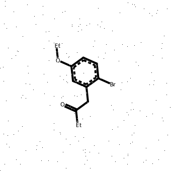 CCOc1ccc(Br)c(CC(=O)CC)c1